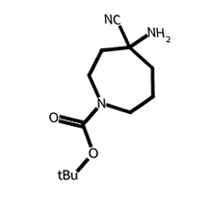 CC(C)(C)OC(=O)N1CCCC(N)(C#N)CC1